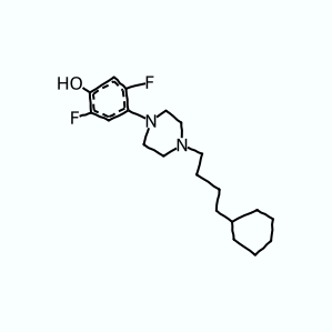 Oc1cc(F)c(N2CCN(CCCCC3CCCCC3)CC2)cc1F